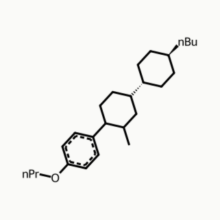 CCCC[C@H]1CC[C@H](C2CCC(c3ccc(OCCC)cc3)C(C)C2)CC1